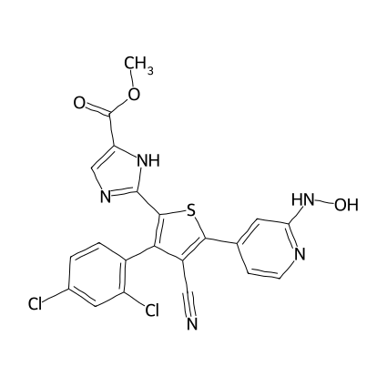 COC(=O)c1cnc(-c2sc(-c3ccnc(NO)c3)c(C#N)c2-c2ccc(Cl)cc2Cl)[nH]1